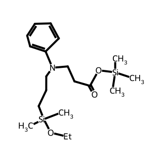 CCO[Si](C)(C)CCCN(CCC(=O)O[Si](C)(C)C)c1ccccc1